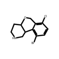 Clc1ccc(Br)c2c1COC1CCNCC21